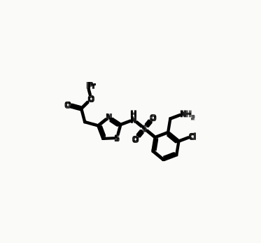 CC(C)OC(=O)Cc1csc(NS(=O)(=O)c2cccc(Cl)c2CN)n1